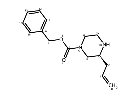 C=CC[C@H]1CN(C(=O)OCc2ccccc2)CCN1